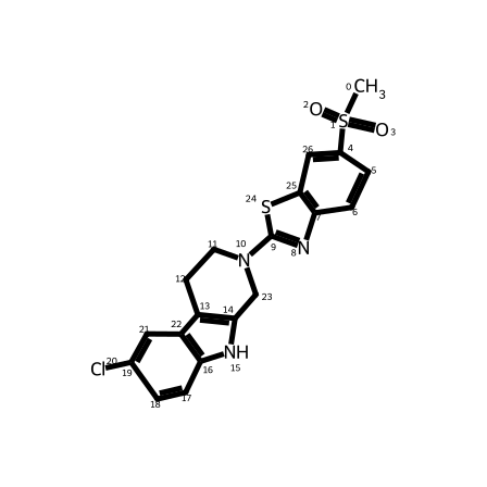 CS(=O)(=O)c1ccc2nc(N3CCc4c([nH]c5ccc(Cl)cc45)C3)sc2c1